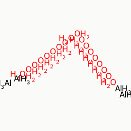 O.O.O.O.O.O.O.O.O.O.O.O.O.O.O.O.O.O.[AlH3].[AlH3].[AlH3].[AlH3]